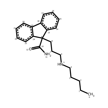 CCCCCNCCCC1(C(N)=O)c2ccccc2-c2ccccc21